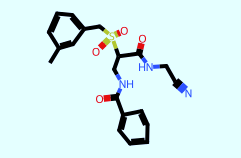 Cc1cccc(CS(=O)(=O)C(CNC(=O)c2ccccc2)C(=O)NCC#N)c1